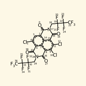 O=C1c2cc(Cl)c3c4c(c(Cl)c(Cl)c(c24)C(=O)N1CC(F)(F)C(F)(F)C(F)(F)F)C(=O)N(CC(F)(F)C(F)(F)C(F)(F)F)C3=O